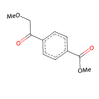 COCC(=O)c1ccc(C(=O)OC)cc1